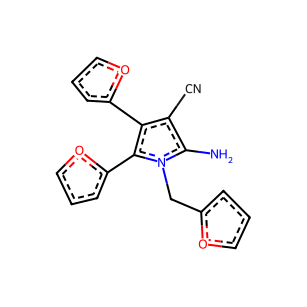 N#Cc1c(-c2ccco2)c(-c2ccco2)n(Cc2ccco2)c1N